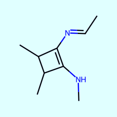 CC=NC1=C(NC)C(C)C1C